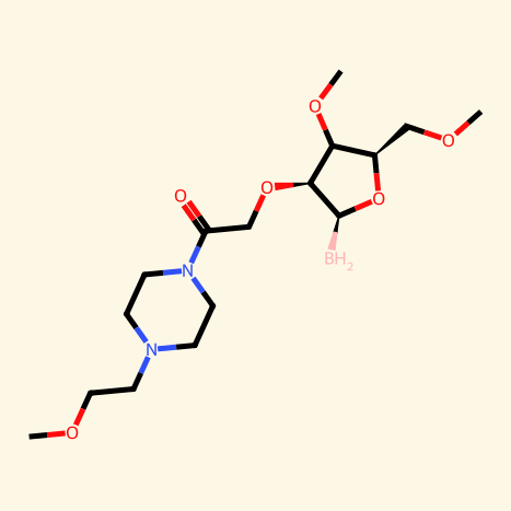 B[C@@H]1O[C@H](COC)C(OC)[C@@H]1OCC(=O)N1CCN(CCOC)CC1